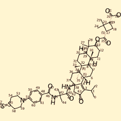 CC(C)C1=C2[C@H]3CC[C@@H]4[C@@]5(C)CC[C@H](OC(=O)[C@H]6C[C@@H](C(=O)O)C6(C)C)C(C)(C)[C@@H]5CC[C@@]4(C)[C@]3(C)CC[C@@]2(NC(=O)C(C)(C)NC(=O)c2ccc(N3CCS(=S=O)CC3)cc2)CC1=O